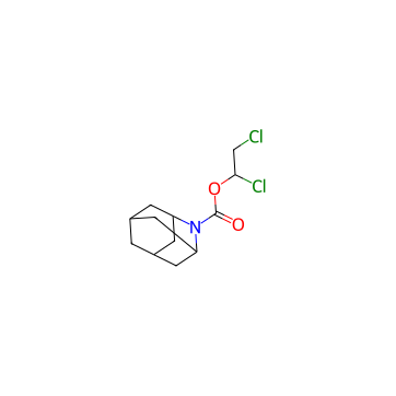 O=C(OC(Cl)CCl)N1C2CC3CC(C2)CC1C3